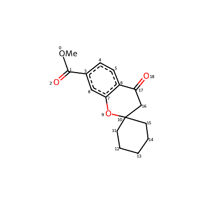 COC(=O)c1ccc2c(c1)OC1(CCCCC1)CC2=O